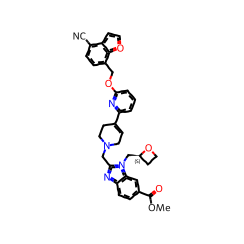 COC(=O)c1ccc2nc(CN3CC=C(c4cccc(OCc5ccc(C#N)c6ccoc56)n4)CC3)n(C[C@@H]3CCO3)c2c1